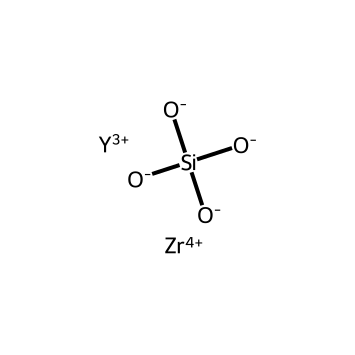 [O-][Si]([O-])([O-])[O-].[Y+3].[Zr+4]